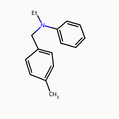 CCN(Cc1ccc(C)cc1)c1ccccc1